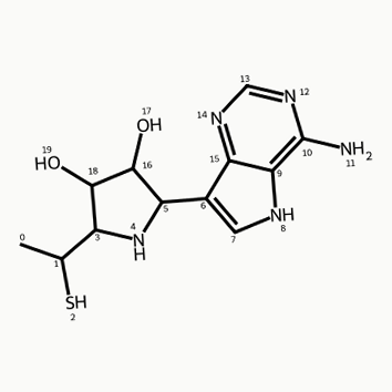 CC(S)C1NC(c2c[nH]c3c(N)ncnc23)C(O)C1O